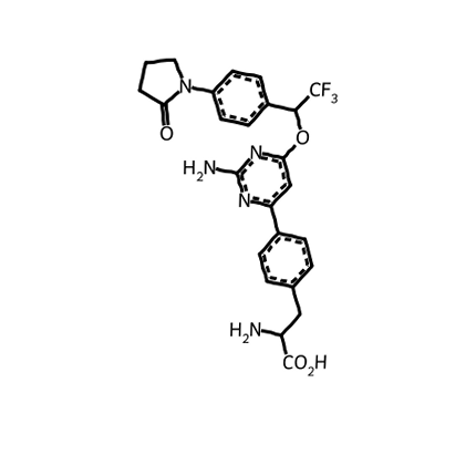 Nc1nc(OC(c2ccc(N3CCCC3=O)cc2)C(F)(F)F)cc(-c2ccc(CC(N)C(=O)O)cc2)n1